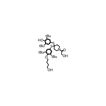 CC(C)(C)c1cc(SC2(Sc3cc(C(C)(C)C)c(OCCCCO)c(C(C)(C)C)c3)CCN(C(=O)CO)CC2)cc(C(C)(C)C)c1O